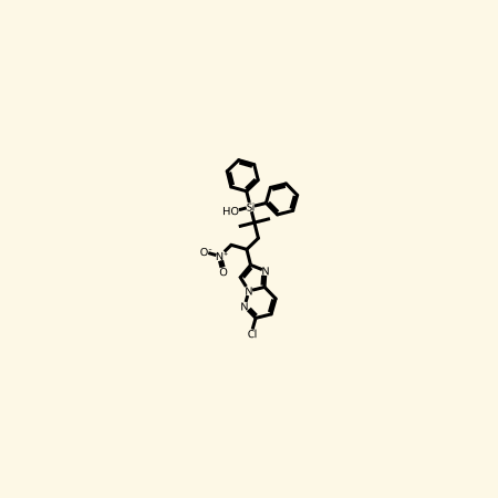 CC(C)(CC(C[N+](=O)[O-])c1cn2nc(Cl)ccc2n1)[Si](O)(c1ccccc1)c1ccccc1